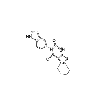 O=c1[nH]c2sc3c(c2c(=O)n1-c1ccc2[nH]ccc2c1)CCCC3